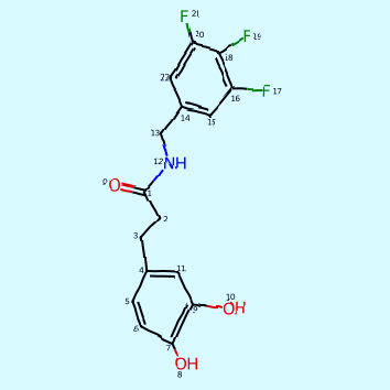 O=C(CCc1ccc(O)c(O)c1)NCc1cc(F)c(F)c(F)c1